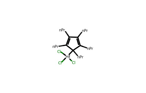 CCCC1=C(CCC)[C](CCC)([Hf]([Cl])([Cl])[Cl])C(CCC)=C1CCC